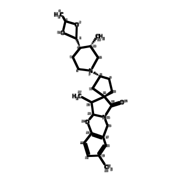 CC1OC([C@H]2CCN([C@@H]3CC[C@@]4(C3)C(=O)N3Cc5cc(C(F)(F)F)ccc5OC3C4C)C[C@H]2C)O1